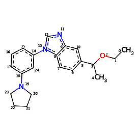 CCOC(C)c1ccc2c(c1)ncn2-c1cccc(N2CCCC2)c1